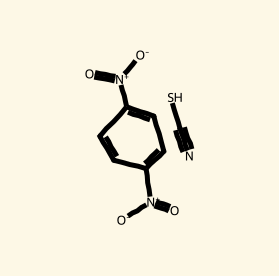 N#CS.O=[N+]([O-])c1ccc([N+](=O)[O-])cc1